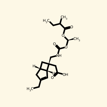 CCC1=C[C@@H]2[C@H](C1)C[C@]2(CNC(=O)O[C@H](C)OC(=O)C(C)CC)CC(=O)O